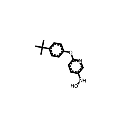 CC(C)(C)c1ccc(Oc2ccc(NO)cn2)cc1